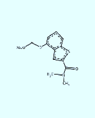 COCOc1cccc2sc(C(=O)N(C)C)cc12